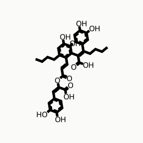 CCCC/C(=C(\C(=O)O)c1c(O)c(O)cc(CCCC)c1/C=C/C(=O)O/C(=C/c1ccc(O)c(O)c1)C(=O)O)c1ccc(O)c(O)c1